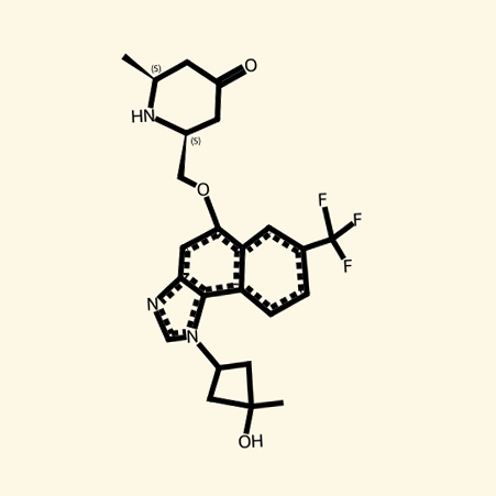 C[C@H]1CC(=O)C[C@@H](COc2cc3ncn(C4CC(C)(O)C4)c3c3ccc(C(F)(F)F)cc23)N1